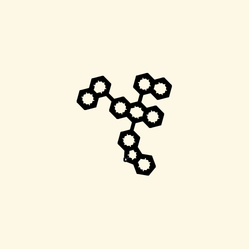 c1ccc2c(-c3ccc4c(-c5ccc6oc7ccccc7c6c5)c5ccccc5c(-c5cccc6ccccc56)c4c3)cccc2c1